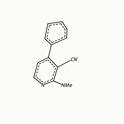 CNc1nccc(-c2ccccc2)c1C#N